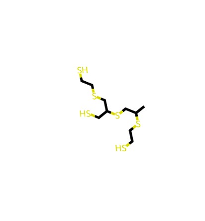 CC(CSC(CS)CSCCS)SCCS